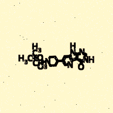 CC(C)(C)OC(=O)N1CCC(c2cnc3c(c2)[nH]c2nc[nH]c(=O)c23)CC1